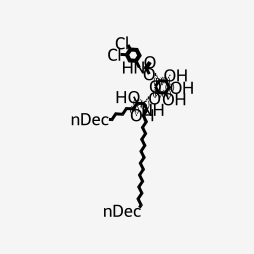 CCCCCCCCCCCCCCCCCCCCCCCCCCN[C@@H](CO[C@@H]1O[C@H](COC(=O)Nc2ccc(Cl)c(Cl)c2)[C@H](O)[C@H](O)[C@H]1O)[C@H](O)[C@H](O)CCCCCCCCCCCCCC